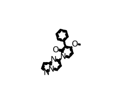 COc1ccn(-c2ccn3nccc3n2)c(=O)c1-c1ccccc1